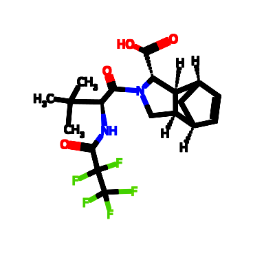 CC(C)(C)[C@H](NC(=O)C(F)(F)C(F)(F)F)C(=O)N1C[C@H]2[C@@H]([C@H]1C(=O)O)[C@H]1C=C[C@@H]2C1